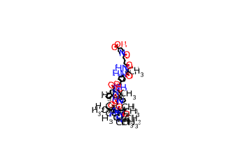 CC[C@H](C)[C@@H]([C@@H](CC(=O)N1CCC[C@H]1[C@H](OC)[C@@H](C)C(=O)N[C@@H](Cc1ccccc1)C(=O)NOCc1ccc(NC(=O)[C@@H](C)NC(=O)CCCC(=O)N2CCC(C(=O)O)CC2)cc1)OC)N(C)C(=O)[C@@H](NC(=O)[C@H](C(C)C)N(C)C)C(C)C